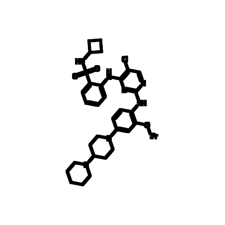 CC(C)Oc1cc(N2CCC(N3CCCCC3)CC2)ccc1Nc1ncc(Cl)c(Nc2ccccc2S(=O)(=O)NC2CCC2)n1